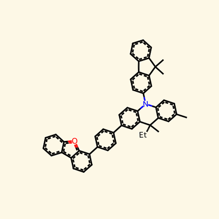 CCC1(C)c2cc(C)ccc2N(c2ccc3c(c2)C(C)(C)c2ccccc2-3)c2ccc(-c3ccc(-c4cccc5c4oc4ccccc45)cc3)cc21